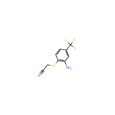 N#CCSc1ccc(C(F)(F)F)cc1N